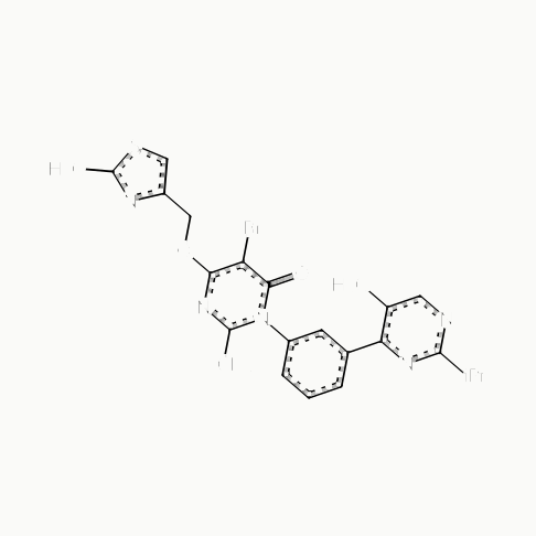 Cc1nc(COc2nc(C)n(-c3cccc(-c4nc(C(C)C)ncc4C)c3)c(=O)c2Br)cs1